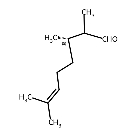 CC(C)=CCC[C@H](C)C(C)C=O